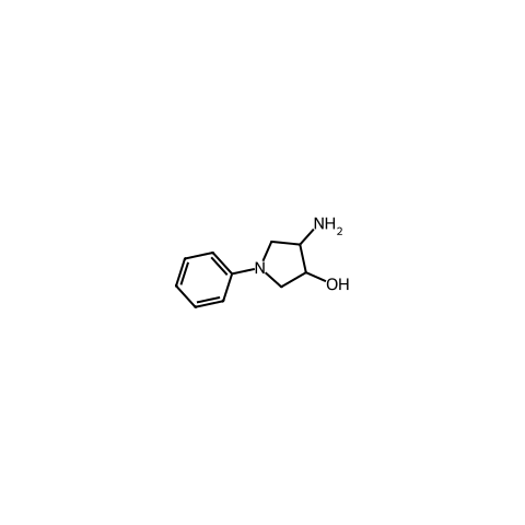 NC1CN(c2ccccc2)CC1O